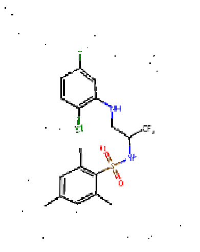 Cc1cc(C)c(S(=O)(=O)NC(CNc2cc(Cl)ccc2Cl)C(F)(F)F)c(C)c1